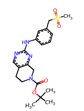 CC(C)(C)OC(=O)N1CCc2cnc(Nc3cccc(CS(C)(=O)=O)c3)nc2C1